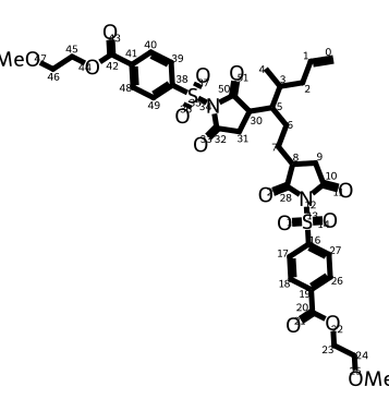 C=CCC(C)C(CCC1CC(=O)N(S(=O)(=O)c2ccc(C(=O)OCCOC)cc2)C1=O)C1CC(=O)N(S(=O)(=O)c2ccc(C(=O)OCCOC)cc2)C1=O